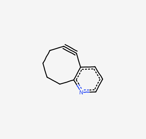 C1#Cc2cccnc2CCCC1